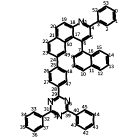 c1ccc(-c2cc(-c3cccc4ccccc34)c3c(ccc4ccc(-c5ccc(-c6nc(-c7ccccc7)nc(-c7ccccc7)n6)cc5)cc43)n2)cc1